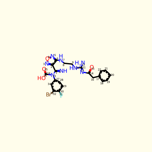 N=C(c1nonc1NCCN/C(N)=N/C(=O)Cc1ccccc1)N(C(=O)O)c1ccc(F)c(Br)c1